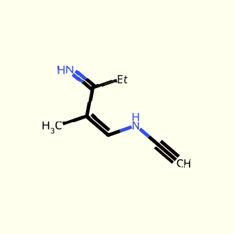 C#CN/C=C(/C)C(=N)CC